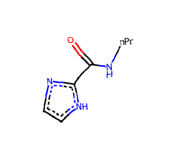 CCCNC(=O)c1ncc[nH]1